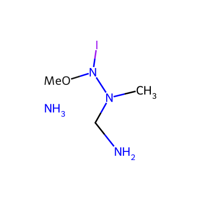 CON(I)N(C)CN.N